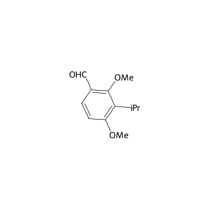 COc1ccc(C=O)c(OC)c1C(C)C